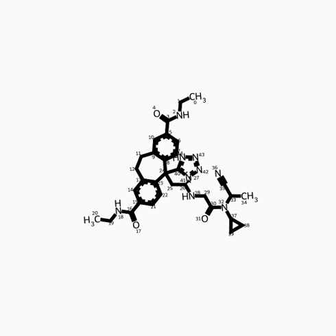 CCNC(=O)c1ccc2c(c1)CCc1cc(C(=O)NCC)ccc1C2(C[C@@H](I)NCC(=O)N(C(C)C#N)C1CC1)c1nnn[nH]1